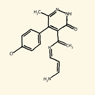 C=C(/N=C\C=C/N)c1c(-c2ccc(Cl)cc2)c(C)n[nH]c1=O